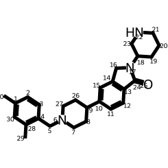 Cc1ccc(CN2CCC(c3ccc4c(c3)CN(C3CCCNC3)C4=O)CC2)c(C)c1